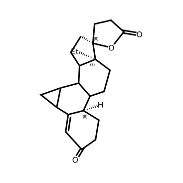 CC[C@]12CCC3C(C4CC4C4=CC(=O)CC[C@@H]43)C1CC[C@@]21CCC(=O)O1